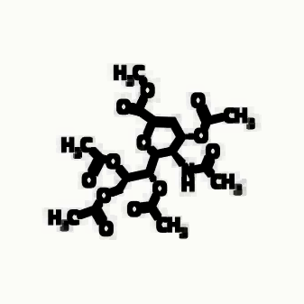 COC(=O)C1=C[C@H](OC(C)=O)[C@@H](NC(C)=O)C([C@H](OC(C)=O)[C@@H](COC(C)=O)OC(C)=O)O1